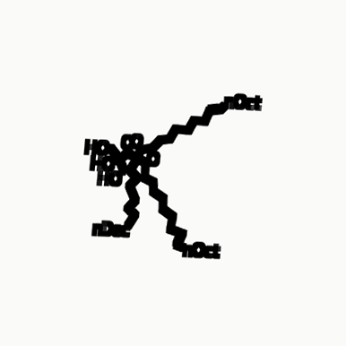 CCCCCCCCC=CCCCCCCCC(=O)C(CCCCCCCCCCCCCCCC)(C(=O)CCCCCCCC=CCCCCCCCC)C(=O)C(O)(CO)CO